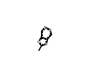 Cc1nc2cnncc2o1